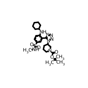 CNS(=O)(=O)c1ccc(NC2CCCCC2)c(-c2nnnn2C2CCCN(C(=O)OC(C)(C)C)C2)c1